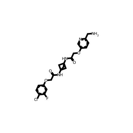 NCc1ccc(OCC(=O)NC23CC(NC(=O)COc4ccc(Cl)c(F)c4)(C2)C3)cn1